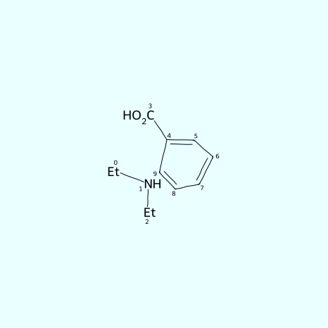 CCNCC.O=C(O)c1ccccc1